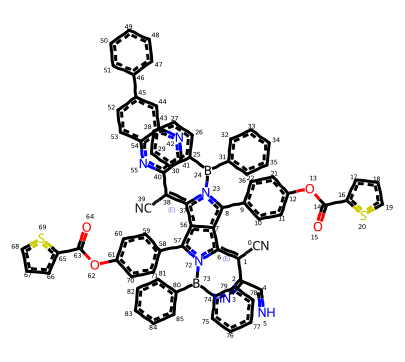 N#C/C(C(=N)C=N)=c1\c2c(-c3ccc(OC(=O)c4cccs4)cc3)n(B(c3ccccc3)c3ccccc3)/c(=C(/C#N)c3cnc4cc(-c5ccccc5)ccc4n3)c2c(-c2ccc(OC(=O)c3cccs3)cc2)n1B(c1ccccc1)c1ccccc1